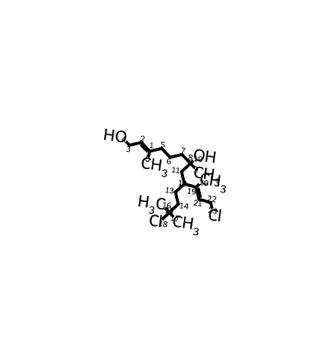 C/C(=C\CO)CCCC(C)(O)CC(CCC(C)(C)Cl)/C(C)=C/CCl